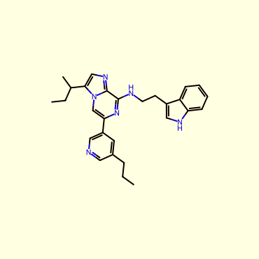 CCCc1cncc(-c2cn3c(C(C)CC)cnc3c(NCCc3c[nH]c4ccccc34)n2)c1